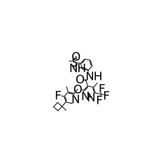 Cc1c(Oc2nnc(C(F)(F)F)c(C)c2C(=O)Nc2cccc(S(C)(=N)=O)c2)ncc(C2(C)CCC2)c1F